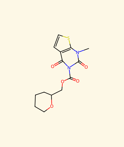 Cn1c(=O)n(C(=O)OCC2CCCCO2)c(=O)c2ccsc21